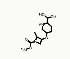 CC1C(OC2CCC(C(O)O)NC2)CN1C(=O)OC(C)(C)C